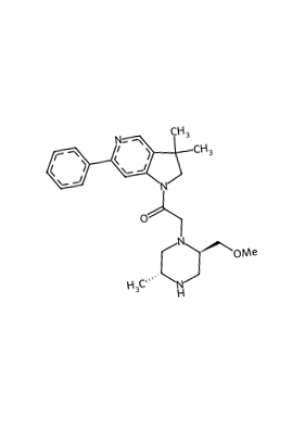 COC[C@H]1CN[C@H](C)CN1CC(=O)N1CC(C)(C)c2cnc(-c3ccccc3)cc21